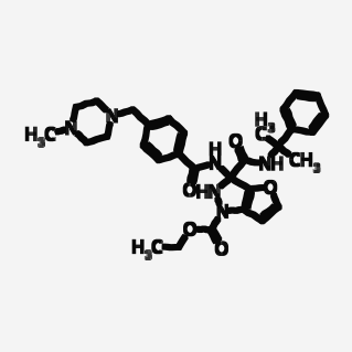 CCOC(=O)N1NC(NC(=O)c2ccc(CN3CCN(C)CC3)cc2)(C(=O)NC(C)(C)c2ccccc2)c2occc21